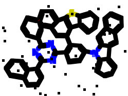 c1ccc(-c2nc(-c3ccc(-n4c5ccccc5c5cc6ccccc6cc54)cc3-c3cc4ccccc4c4sc5ccccc5c34)nc(-c3cccc4ccccc34)n2)cc1